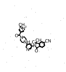 Cn1cc(C(=O)N2CCN(c3cncc(N4C(=O)c5ccc(C#N)cc5C4(C)C)c3)CC2)cn1